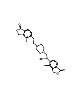 Cc1c(CCN2CCN(CC(O)c3ccc4c(c3C)COC4=O)CC2)ccc2c1COC2=O